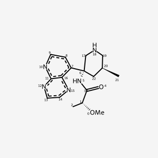 CO[C@H](C)C(=O)N[C@]1(c2ccnc3nccnc23)CNC[C@@H](C)C1